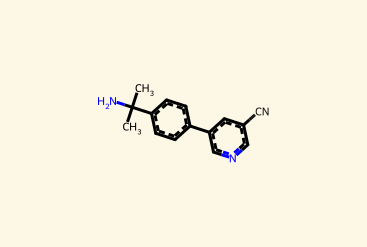 CC(C)(N)c1ccc(-c2cncc(C#N)c2)cc1